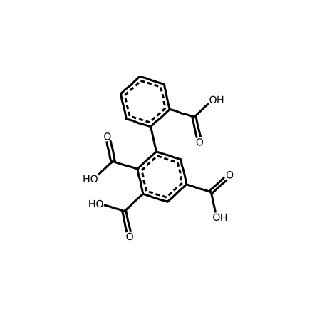 O=C(O)c1cc(C(=O)O)c(C(=O)O)c(-c2ccccc2C(=O)O)c1